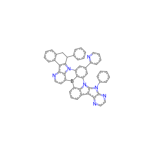 c1ccc(C2Cc3ccccc3-c3c2n2c4c(ccnc34)B3c4c-2cc(-c2ccccn2)cc4-n2c4c3cccc4c3c4nccnc4n(-c4ccccc4)c32)cc1